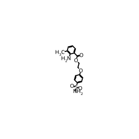 Cc1cccc(C(=O)OCCOc2ccc(S(N)(=O)=O)cc2)c1N